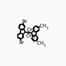 Cc1ccc2c(c1)-c1cc(C)ccc1C2C(C)(C)C1c2cc(Br)ccc2-c2ccc(Br)cc21